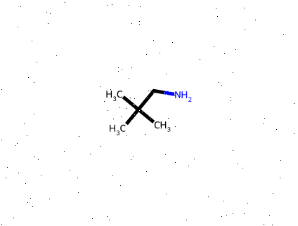 CC(C)(C)[CH]N